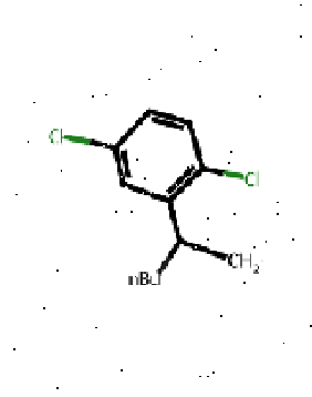 [CH2]C(CCCC)c1cc(Cl)ccc1Cl